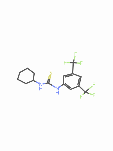 FC(F)(F)c1cc(NC(=S)NC2CCCCC2)cc(C(F)(F)F)c1